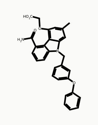 Cc1cc(OCC(=O)O)c2c3c(C(N)=O)cccc3n(Cc3cccc(Oc4ccccc4)c3)c2c1